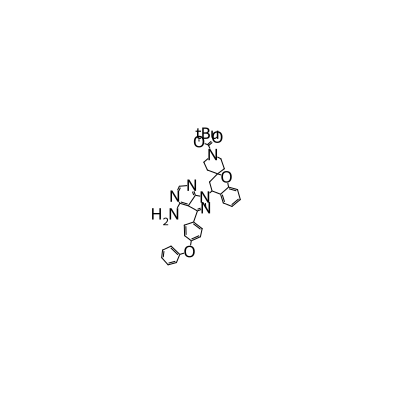 CC(C)(C)OC(=O)N1CCC2(CC1)CC(n1nc(-c3ccc(Oc4ccccc4)cc3)c3c(N)ncnc31)c1ccccc1O2